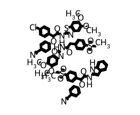 CCS(=O)(=O)c1ccc(C(Oc2ccc(C#N)cc2)C(=O)Nc2cc3ccccc3[nH]2)cc1.CCS(=O)(=O)c1ccc(CC(=O)Nc2nc3cc(OC)c(OC)cc3o2)cc1.COc1cc2nc(NC(=O)C(Oc3ccc(C#N)cc3)c3ccc(Cl)cc3)sc2cc1OC